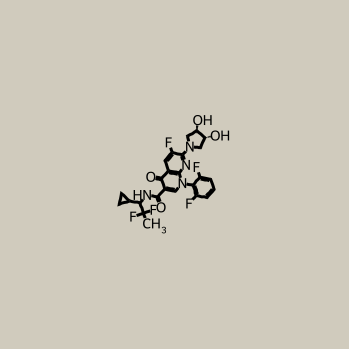 CC(F)(F)C(NC(=O)c1cn(-c2c(F)cccc2F)c2nc(N3C[C@@H](O)[C@H](O)C3)c(F)cc2c1=O)C1CC1